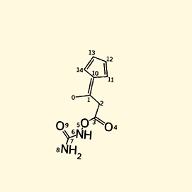 CC(CC(=O)ONC(N)=O)=C1C=CC=C1